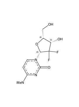 CNc1ccn([C@@H]2O[C@H](CO)[C@H](O)C2(F)F)c(=O)n1